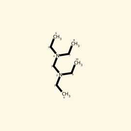 CCN([CH]N(CC)CC)CC